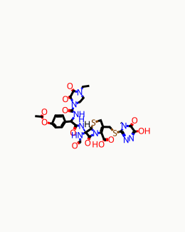 CCN1CCN(C(=O)NC(C(=O)N[C@]2(NC=O)C(=O)N3C(C(=O)O)=C(CSc4nnc(O)c(=O)n4C)CS[C@@H]32)c2ccc(OC(C)=O)cc2)C(=O)C1=O